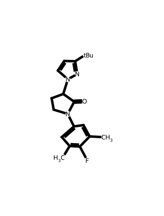 Cc1cc(N2CCC(n3ccc(C(C)(C)C)n3)C2=O)cc(C)c1F